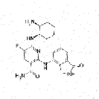 NC(=O)c1cc(F)c(N[C@@H]2CCCC[C@@H]2N)nc1Nc1cccc2c1CNC2=O